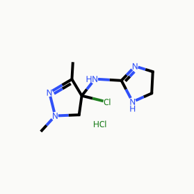 CC1=NN(C)CC1(Cl)NC1=NCCN1.Cl